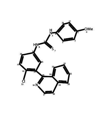 COc1ccc(NC(=S)Nc2ccc(Cl)c(-c3nccc4ccccc34)c2)cc1